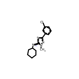 Cn1nc(-c2cccc(Cl)c2)s/c1=N/C1CCCCC1